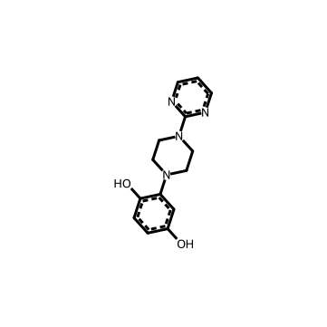 Oc1ccc(O)c(N2CCN(c3ncccn3)CC2)c1